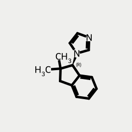 CC1(C)Cc2ccccc2[C@@H]1n1ccnc1